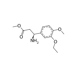 CCOc1cc([C@@H](N)CC(=O)OC)ccc1OC